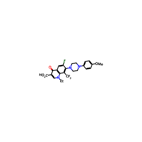 CCn1cc(C(=O)O)c(=O)c2cc(F)c(N3CCN(c4ccc(OC)cc4)CC3)c(C(F)(F)F)c21